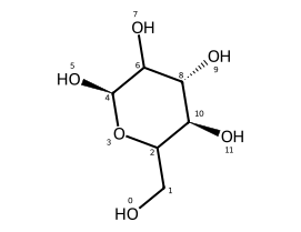 OCC1O[C@@H](O)C(O)[C@H](O)[C@H]1O